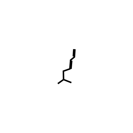 C=CC=CCC(C)C